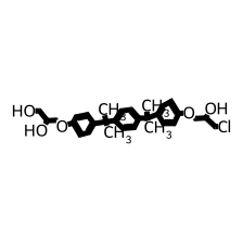 CC(C)(c1ccc(OCC(O)CO)cc1)c1ccc(C(C)(C)c2ccc(OCC(O)CCl)cc2)cc1